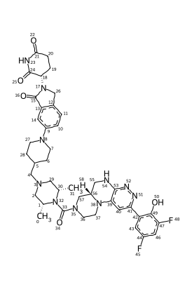 C[C@@H]1CN(CC2CCN(c3ccc4c(c3)C(=O)N([C@H]3CCC(=O)NC3=O)C4)CC2)C[C@H](C)N1C(=O)N1CCN2c3cc(-c4cc(F)cc(F)c4O)nnc3NC[C@H]2C1